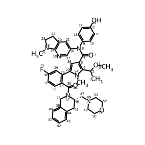 COC(C)c1c(C(=O)N(c2ccc(O)cc2)c2cnc3c(c2)CCN3C)cc(-c2cc(F)ccc2C(=O)N2Cc3ccccc3C[C@H]2CN2CCOCC2)n1C